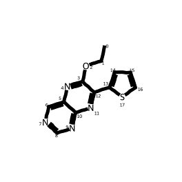 CCOc1nc2cncnc2nc1-c1cccs1